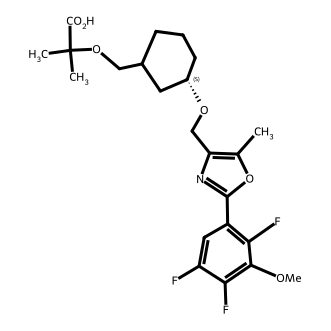 COc1c(F)c(F)cc(-c2nc(CO[C@H]3CCCC(COC(C)(C)C(=O)O)C3)c(C)o2)c1F